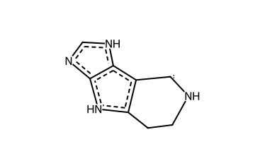 [C]1NCCc2[nH]c3nc[nH]c3c21